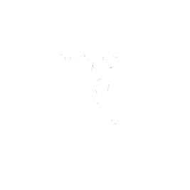 CN(c1ccc(-c2ccccc2C(=O)NC(=O)[C@H]2CCCCN2)cc1)C1CCN(CC2(C(F)(F)F)CCC2)CC1